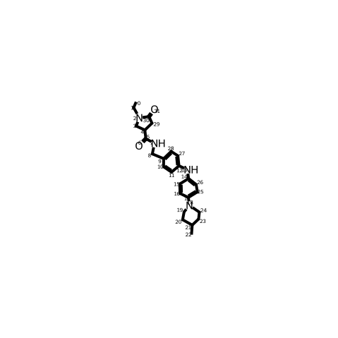 CCN1CC(C(=O)NCc2ccc(Nc3ccc(N4CCC(C)CC4)cc3)cc2)CC1=O